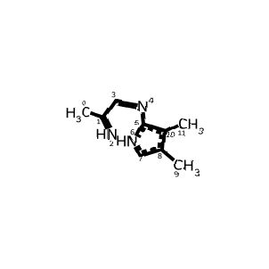 CC(=N)/C=N\c1[nH]cc(C)c1C